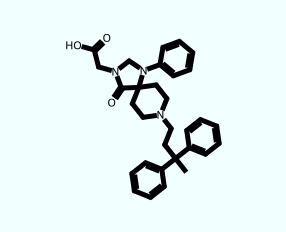 CC(CCN1CCC2(CC1)C(=O)N(CC(=O)O)CN2c1ccccc1)(c1ccccc1)c1ccccc1